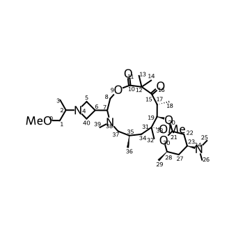 COCC(C)N1CC(C2COC(=O)C(C)(C)C(=O)[C@H](C)[C@@H](O[C@H]3C[C@@H](N(C)C)C[C@@H](C)O3)[C@](C)(OC)C[C@@H](C)CN2C)C1